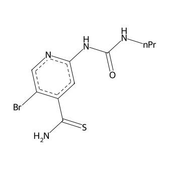 CCCNC(=O)Nc1cc(C(N)=S)c(Br)cn1